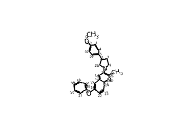 COc1ccc(C2CCN(c3cc4cc(Oc5ccccc5)ccc4nc3C)C2)cc1